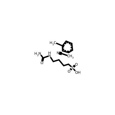 CC#N.Cc1ccccc1.NC(=O)NCCCCS(=O)(=O)O